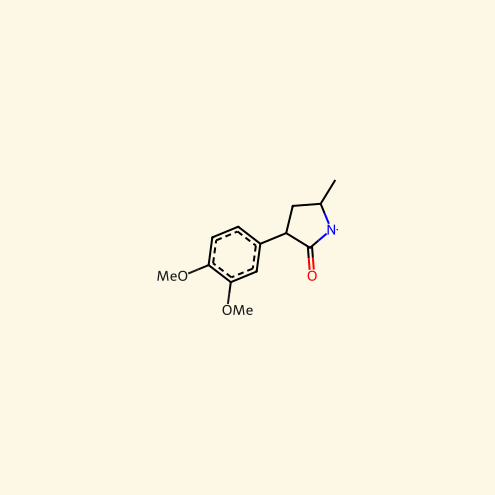 COc1ccc(C2CC(C)[N]C2=O)cc1OC